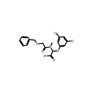 CC(C)C(=O)C(Sc1cc(Cl)cc(Cl)c1)N(C)C(=O)COCc1ccccc1